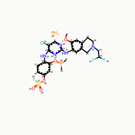 COc1cc2c(cc1Nc1ncc(Cl)c(Nc3ccc(OS(=O)(=O)F)cc3OP(C)C)n1)CN(CC(F)F)CC2.P